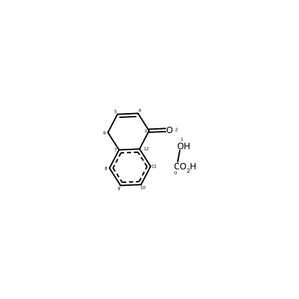 O=C(O)O.O=C1C=CCc2ccccc21